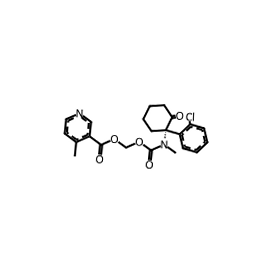 Cc1ccncc1C(=O)OCOC(=O)N(C)[C@]1(c2ccccc2Cl)CCCCC1=O